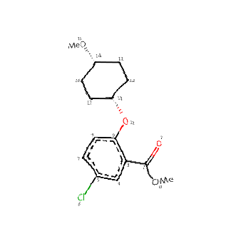 COC(=O)c1cc(Cl)ccc1O[C@H]1CC[C@@H](OC)CC1